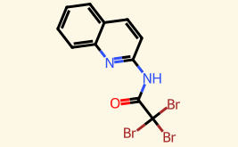 O=C(Nc1ccc2ccccc2n1)C(Br)(Br)Br